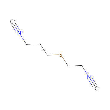 [C-]#[N+]CCCSCC[N+]#[C-]